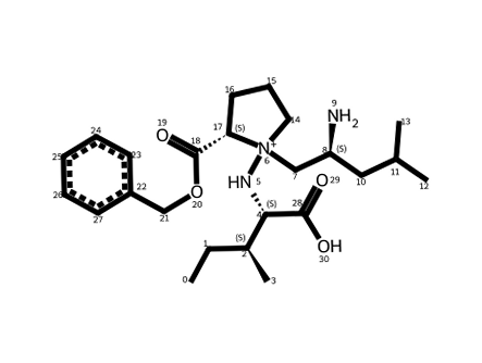 CC[C@H](C)[C@H](N[N+]1(C[C@@H](N)CC(C)C)CCC[C@H]1C(=O)OCc1ccccc1)C(=O)O